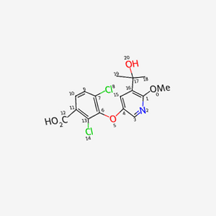 COc1ncc(Oc2c(Cl)ccc(C(=O)O)c2Cl)cc1C(C)(C)O